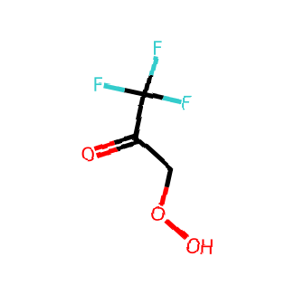 O=C(COO)C(F)(F)F